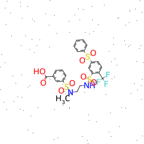 CN(CCNS(=O)(=O)c1cc(S(=O)(=O)c2ccccc2)ccc1C(F)(F)F)S(=O)(=O)c1cccc(C(=O)O)c1